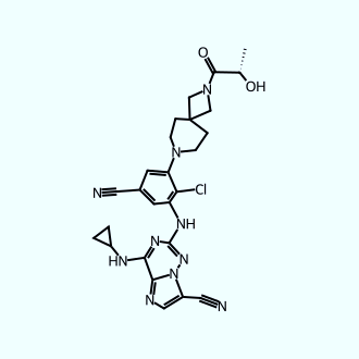 C[C@H](O)C(=O)N1CC2(CCN(c3cc(C#N)cc(Nc4nc(NC5CC5)c5ncc(C#N)n5n4)c3Cl)CC2)C1